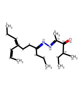 C/C=C\C(=C/CC)CC/C(CCC)=N/N=C(\C)C(=O)C(C)CC